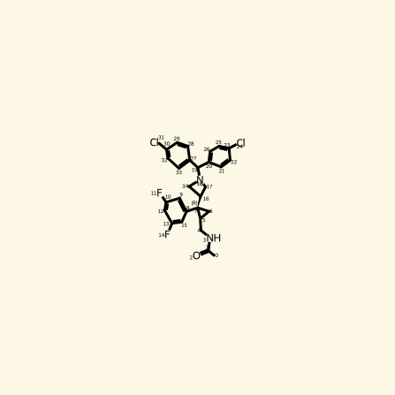 CC(=O)NCC1C[C@]1(c1cc(F)cc(F)c1)C1CN(C(c2ccc(Cl)cc2)c2ccc(Cl)cc2)C1